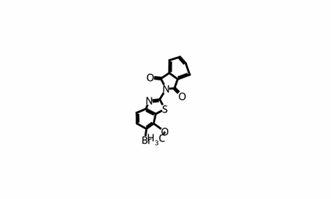 COc1c(Br)ccc2nc(N3C(=O)c4ccccc4C3=O)sc12